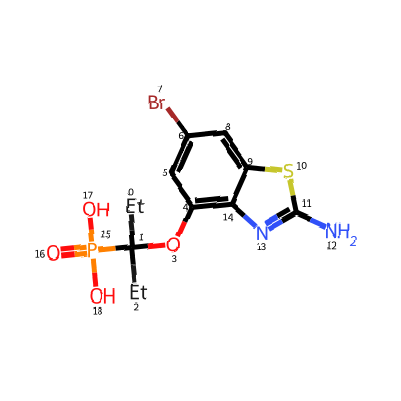 CCC(CC)(Oc1cc(Br)cc2sc(N)nc12)P(=O)(O)O